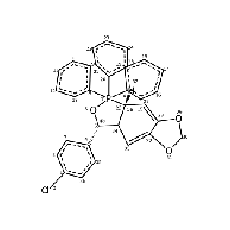 Clc1ccc([C@@H]2OP(c3ccccc3)(c3ccccc3)(c3ccccc3)[C@@H]3C=C4OCOC4=CC32)cc1